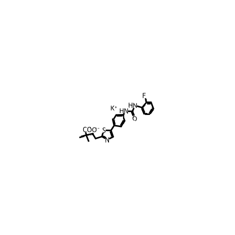 CC(C)(CCc1ncc(-c2ccc(NC(=O)Nc3ccccc3F)cc2)s1)C(=O)[O-].[K+]